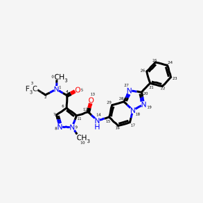 CN(CC(F)(F)F)C(=O)c1cnn(C)c1C(=O)Nc1ccn2nc(-c3ccccc3)nc2c1